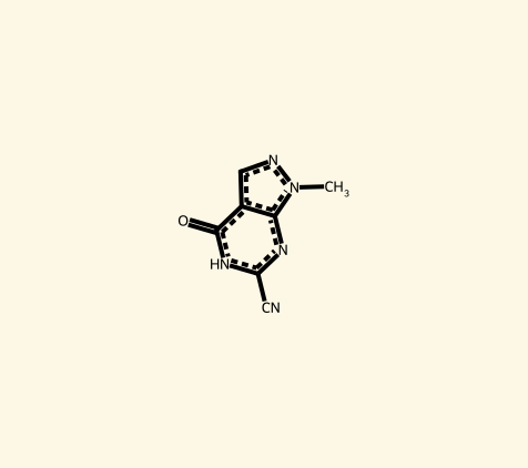 Cn1ncc2c(=O)[nH]c(C#N)nc21